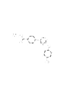 COC(=O)c1ccc(-c2csc(Oc3ccc(C(F)(F)F)cc3)n2)cc1